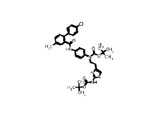 Cc1ccc(-c2ccc(Cl)cc2)c(C(=O)Nc2ccc(N(CCc3csc(NC(=O)OC(C)(C)C)n3)C(=O)OC(C)(C)C)cc2)c1